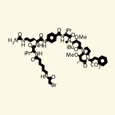 CC[C@H](C)[C@@H]([C@@H](CC(=O)N1CCC[C@H]1[C@H](OC)[C@@H](C)C(=O)N[C@@H](Cc1ccccc1)C(=O)O)OC)N(C)C(=O)[C@@H](NC(=O)c1ccc(NC(=O)[C@H](CCCNC(N)=O)NC(=O)[C@@H](NC(=O)CCCCCNC(=O)CBr)C(C)C)cc1)C(C)C